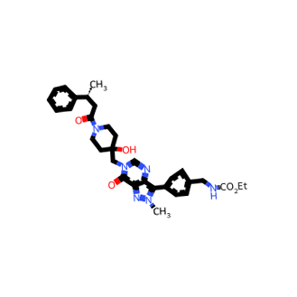 CCOC(=O)NCc1ccc(-c2c3ncn(CC4(O)CCN(C(=O)C[C@@H](C)c5ccccc5)CC4)c(=O)c3nn2C)cc1